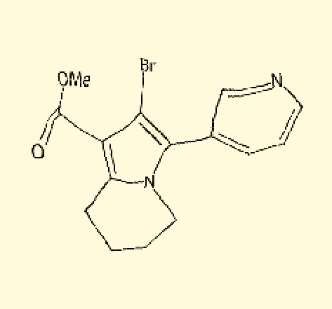 COC(=O)c1c(Br)c(-c2cccnc2)n2c1CCCC2